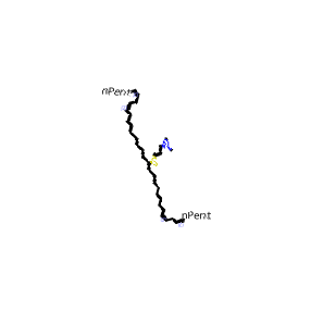 CCCCC/C=C\C/C=C\CCCCCCCCC(CCCCCCCC/C=C\C/C=C\CCCCC)SCCCN(C)C